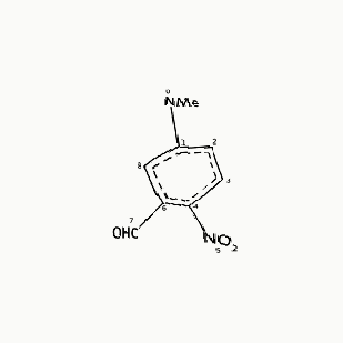 CNc1ccc([N+](=O)[O-])c(C=O)c1